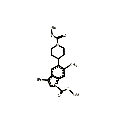 Cc1cc2c(cc1C1CCN(C(=O)OC(C)(C)C)CC1)c(C(C)C)cn2C(=O)OC(C)(C)C